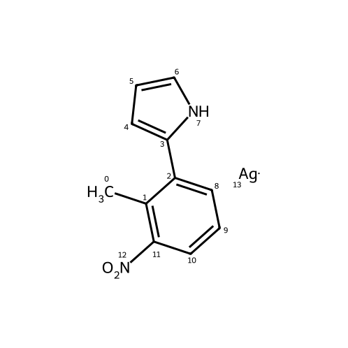 Cc1c(-c2ccc[nH]2)cccc1[N+](=O)[O-].[Ag]